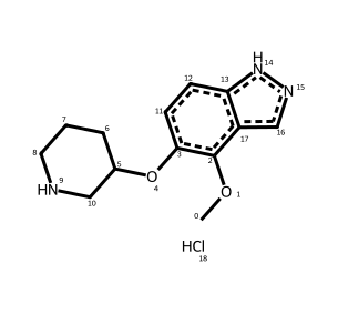 COc1c(OC2CCCNC2)ccc2[nH]ncc12.Cl